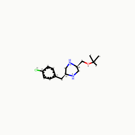 CC(C)(C)OC[C@H]1CN[C@@H](Cc2ccc(Cl)cc2)CN1